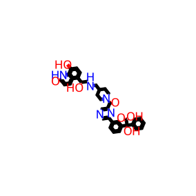 O=C(c1cncc(-c2cccc(C(O)(C(=O)O)c3ccccc3)c2)n1)N1CCC(CNCC(O)c2ccc(O)c3[nH]c(=O)ccc23)CC1